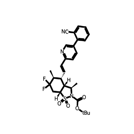 C[C@@H]1[C@H]2[C@@H](C=Cc3ccc(-c4ccccc4C#N)cn3)[C@H](C)C(F)(F)C[C@H]2S(=O)(=O)N1C(=O)OC(C)(C)C